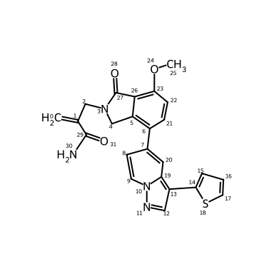 C=C(CN1Cc2c(-c3ccn4ncc(-c5cccs5)c4c3)ccc(OC)c2C1=O)C(N)=O